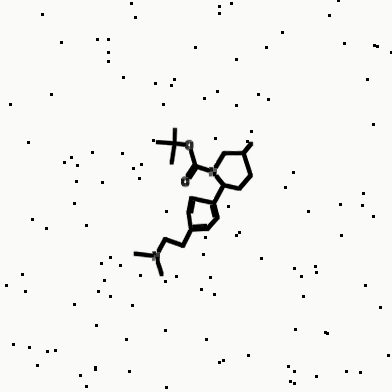 CC1CCC(c2ccc(CCN(C)C)cc2)N(C(=O)OC(C)(C)C)C1